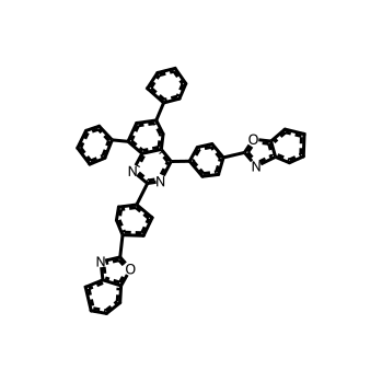 c1ccc(-c2cc(-c3ccccc3)c3nc(-c4ccc(-c5nc6ccccc6o5)cc4)nc(-c4ccc(-c5nc6ccccc6o5)cc4)c3c2)cc1